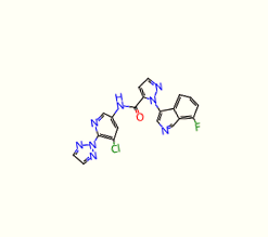 O=C(Nc1cnc(-n2nccn2)c(Cl)c1)c1ccnn1-c1cncc2c(F)cccc12